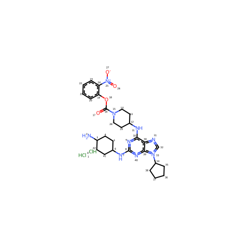 Cl.Cl.NC1CCC(Nc2nc(NC3CCN(C(=O)Oc4ccccc4[N+](=O)[O-])CC3)c3ncn(C4CCCC4)c3n2)CC1